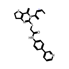 C=C(/C=C\C)N1C(=C)C2=C(CCS2)N=C1SCC(=O)Nc1ccc(-c2cccnc2)cc1